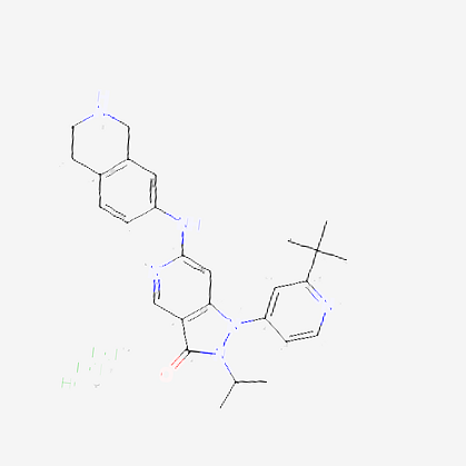 CC(C)n1c(=O)c2cnc(Nc3ccc4c(c3)CNCC4)cc2n1-c1ccnc(C(C)(C)C)c1.Cl.Cl.Cl